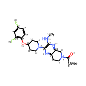 COC(=O)N1CCc2nc(N3CCC(Oc4ccc(F)cc4F)CC3)c(NC(C)C)nc2C1